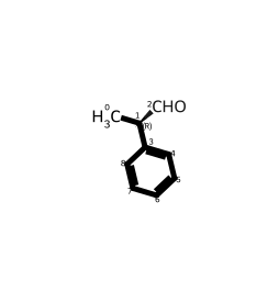 C[C@@H](C=O)c1ccccc1